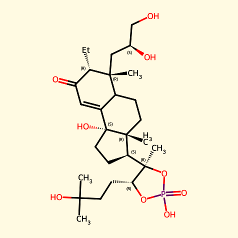 CC[C@H]1C(=O)C=C2C(CC[C@]3(C)[C@@H]([C@@]4(C)OP(=O)(O)O[C@@H]4CCC(C)(C)O)CC[C@@]23O)[C@@]1(C)C[C@H](O)CO